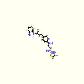 Nc1ccccc1NC(=O)/C=C/c1ccc(NCCNc2nccs2)nc1